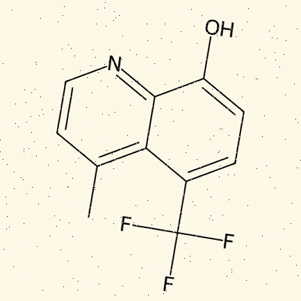 Cc1ccnc2c(O)ccc(C(F)(F)F)c12